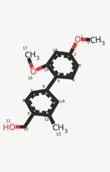 COc1ccc(-c2ccc(CO)c(C)c2)c(OC)c1